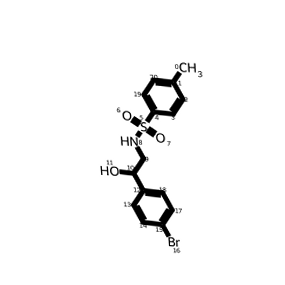 Cc1ccc(S(=O)(=O)NCC(O)c2ccc(Br)cc2)cc1